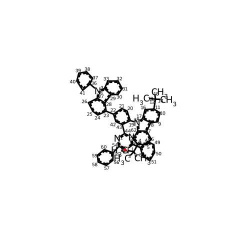 CC(C)(C)c1ccc2c3ccc(C(C)(C)C)cc3n(-c3ccc(-c4cccc5c4c4ccccc4n5-c4ccccc4)cc3-c3nc(-c4ccccc4)nc(-c4ccccc4)n3)c2c1